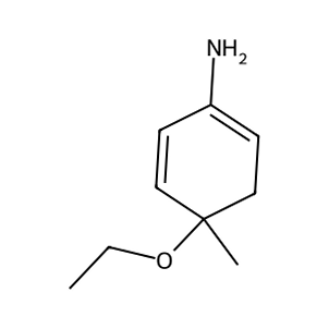 CCOC1(C)C=CC(N)=CC1